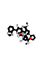 COC(=O)N1CCC[C@@H]1c1cc2c(SC)nc3c(F)c(-c4cccc5scnc45)ncc3c2n1[C@H]1[C@@H]2C[C@H]1N(C(=O)O)C2